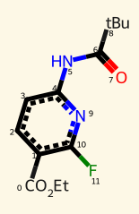 CCOC(=O)c1ccc(NC(=O)C(C)(C)C)nc1F